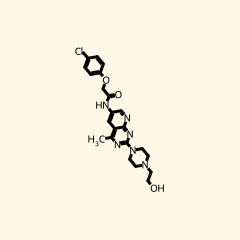 Cc1nc(N2CCN(CCO)CC2)nc2ncc(NC(=O)COc3ccc(Cl)cc3)cc12